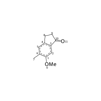 COc1cc2c(cc1C)CCC2=O